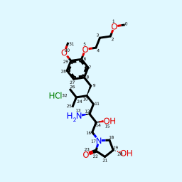 COCCCOc1cc(C[C@@H](C[C@H](N)[C@@H](O)CN2C[C@H](O)CC2=O)C(C)C)ccc1OC.Cl